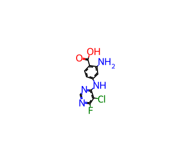 Nc1cc(Nc2ncnc(F)c2Cl)ccc1C(=O)O